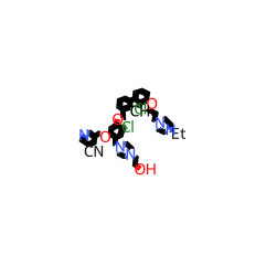 CCN1CCN(CCCOc2cccc(-c3cccc(COc4cc(OCc5cncc(C#N)c5)c(CN5CCN(CCO)CC5)cc4Cl)c3C)c2Cl)CC1